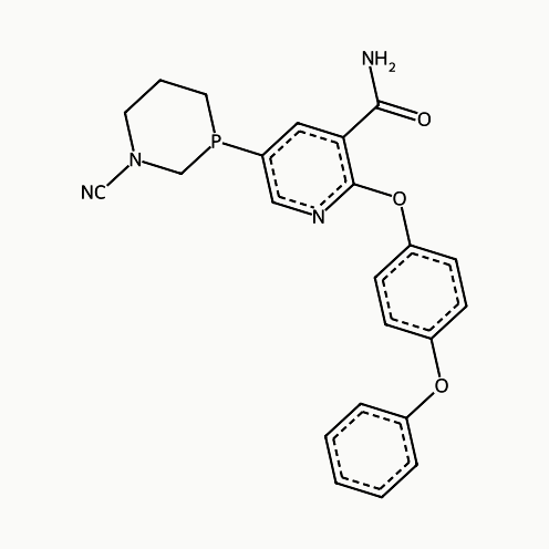 N#CN1CCCP(c2cnc(Oc3ccc(Oc4ccccc4)cc3)c(C(N)=O)c2)C1